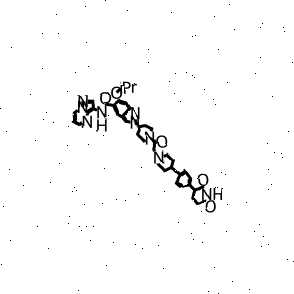 CC(C)Oc1cc2nn(C3CCN(C(=O)CN4CCC(c5ccc(C6CCC(=O)NC6=O)cc5)CC4)CC3)cc2cc1C(=O)Nc1cnn2cccnc12